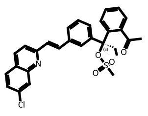 CC[C@](OS(C)(=O)=O)(c1cccc(C=Cc2ccc3ccc(Cl)cc3n2)c1)c1ccccc1C(C)=O